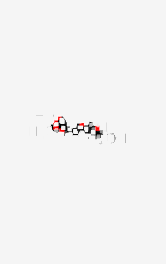 C[C@H]1C(O[C@@H]2CC[C@@]3(C)C(CCC4C3C[C@H](O)[C@@]3(C)C4CC[C@@H]3[C@H](C)CCC(=O)O)C2)OC2O[C@]3(C)CCC4[C@H](C)CCC1C24OO3